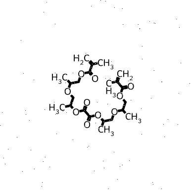 C=C(C)C(=O)OCC(C)OCC(C)OC(=O)C(=O)OC(C)COC(C)COC(=O)C(=C)C